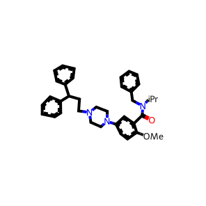 COc1ccc(N2CCN(CCC(c3ccccc3)c3ccccc3)CC2)cc1C(=O)N(Cc1ccccc1)C(C)C